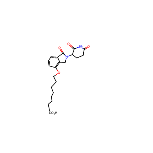 O=C(O)CCCCCCCOc1cccc2c1CN(C1CCC(=O)NC1=O)C2=O